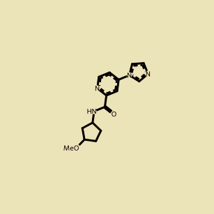 COC1CCC(NC(=O)c2cc(-n3ccnc3)ccn2)C1